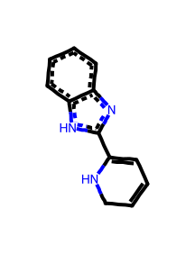 C1=CCNC(c2nc3ccccc3[nH]2)=C1